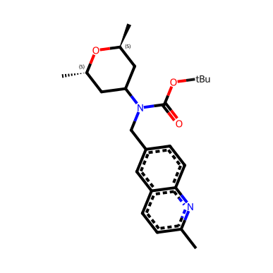 Cc1ccc2cc(CN(C(=O)OC(C)(C)C)C3C[C@H](C)O[C@@H](C)C3)ccc2n1